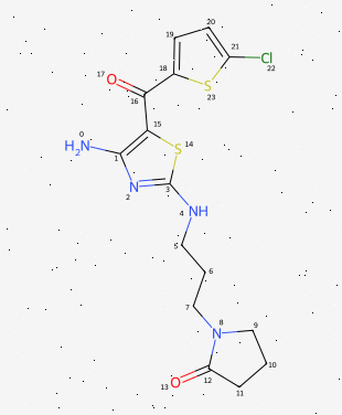 Nc1nc(NCCCN2CCCC2=O)sc1C(=O)c1ccc(Cl)s1